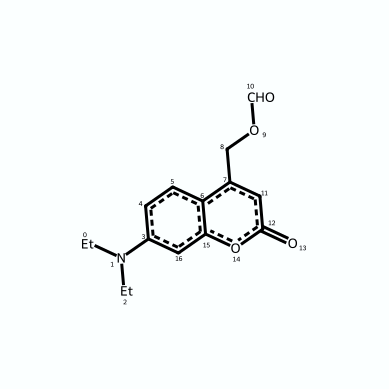 CCN(CC)c1ccc2c(COC=O)cc(=O)oc2c1